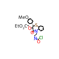 CCOC(=O)CO[C@H]1C(=O)N(CCN(C)C(=O)Cl)c2ccccc2S[C@H]1c1ccc(OC)cc1